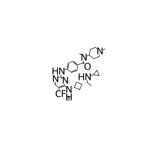 CC(NC1CC1)[C@H]1C[C@@H](Nc2nc(Nc3ccc(C(=O)N(C)C4CCN(C)CC4)cc3)ncc2C(F)(F)F)C1